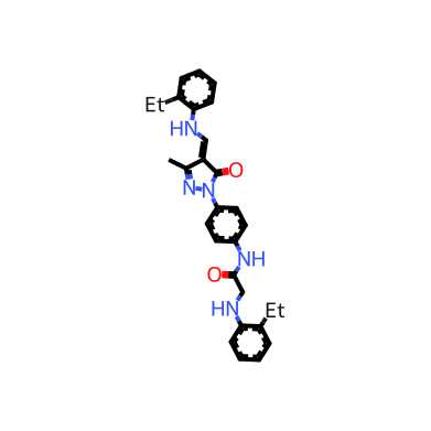 CCc1ccccc1NC=C1C(=O)N(c2ccc(NC(=O)CNc3ccccc3CC)cc2)N=C1C